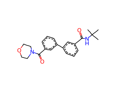 CC(C)(C)NC(=O)c1cccc(-c2cccc(C(=O)N3CCOCC3)c2)c1